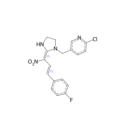 O=[N+]([O-])C(/C=C/c1ccc(F)cc1)=C1\NCCN1Cc1ccc(Cl)nc1